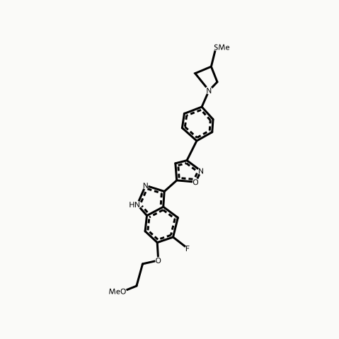 COCCOc1cc2[nH]nc(-c3cc(-c4ccc(N5CC(SC)C5)cc4)no3)c2cc1F